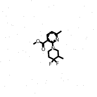 COC(=O)c1ccc(C)nc1N1CCC(F)(F)C(C)C1